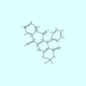 CC1(C)CC(=O)C2=C(C1)OC1=C(C(=O)c3ncncc3C1=O)C2c1ccccc1